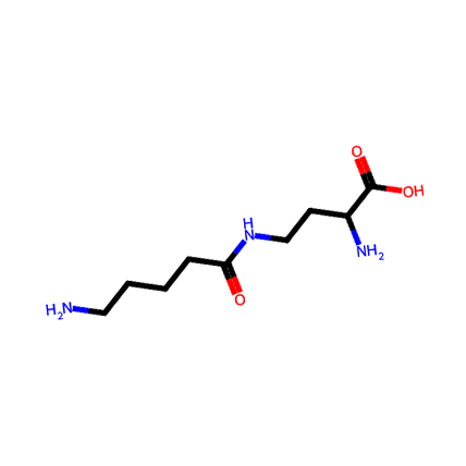 NCCCCC(=O)NCCC(N)C(=O)O